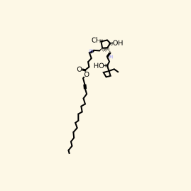 CCCCCCCCCCCCCCCC#CCOC(=O)CCC/C=C\C[C@@H]1[C@@H](/C=C/C[C@H](O)C2(CC)CCC2)[C@H](O)C[C@H]1Cl